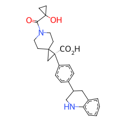 O=C(N1CCC2(CC1)C[C@]2(C(=O)O)c1ccc(C2CNc3ccccc3C2)cc1)C1(O)CC1